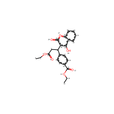 CCOC(=O)CC(c1ccc(C(=O)OCC)cc1)c1c(O)c2ccccc2oc1=O